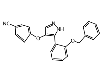 N#Cc1ccc(Oc2cn[nH]c2-c2ccccc2OCc2ccccc2)cc1